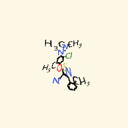 Cc1cc(N=CN(C)C)c(Cl)cc1Oc1snc(-c2ccccc2C)c1C#N